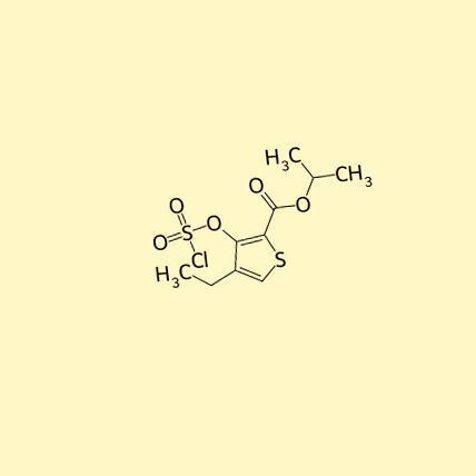 CCc1csc(C(=O)OC(C)C)c1OS(=O)(=O)Cl